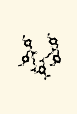 COc1ccc(CN(Cc2ccc(OC)cc2)C(=O)OCCOC(C)Oc2cc(OC(C)OCCOC(=O)N(Cc3ccc(OC)cc3)Cc3ccc(OC)cc3)cc(N(C)C)c2)cc1